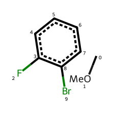 COC.Fc1ccccc1Br